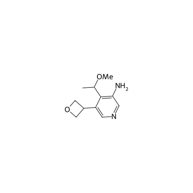 COC(C)c1c(N)cncc1C1COC1